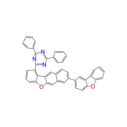 c1ccc(-c2nc(-c3ccccc3)nc(-c3cccc4oc5cc6cc(-c7ccc8oc9ccccc9c8c7)ccc6cc5c34)n2)cc1